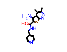 Cc1nnc2sc(C(O)NCc3ccncc3)c(N)c2c1C